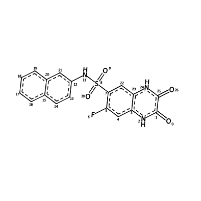 O=c1[nH]c2cc(F)c(S(=O)(=O)Nc3ccc4ccccc4c3)cc2[nH]c1=O